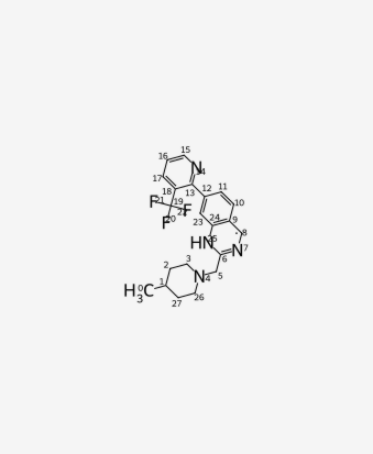 CC1CCN(CC2=N[CH]c3ccc(-c4ncccc4C(F)(F)F)cc3N2)CC1